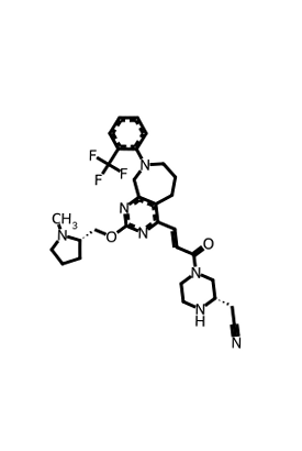 CN1CCC[C@H]1COc1nc(C=CC(=O)N2CCN[C@@H](CC#N)C2)c2c(n1)CN(c1ccccc1C(F)(F)F)CCC2